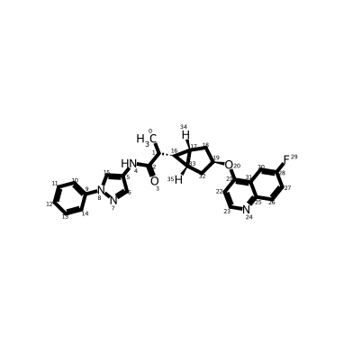 CC(C(=O)Nc1cnn(-c2ccccc2)c1)[C@@H]1[C@@H]2C[C@@H](Oc3ccnc4ccc(F)cc34)C[C@@H]21